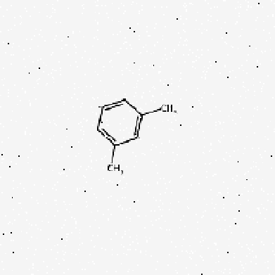 Cc1[c]c(C)c[c]c1